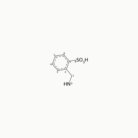 [NH]Cc1ccccc1S(=O)(=O)O